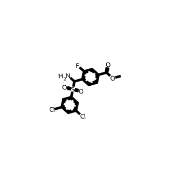 COC(=O)c1ccc(C(N)S(=O)(=O)c2cc(Cl)cc(Cl)c2)c(F)c1